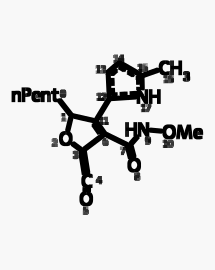 CCCCCC1OC(=C=O)C(C(=O)NOC)=C1c1ccc(C)[nH]1